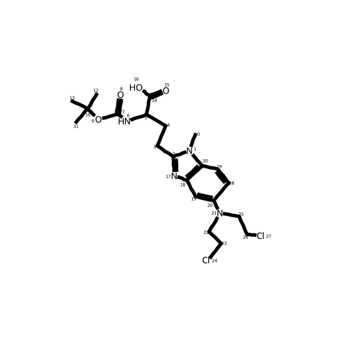 Cn1c(CCC(NC(=O)OC(C)(C)C)C(=O)O)nc2cc(N(CCCl)CCCl)ccc21